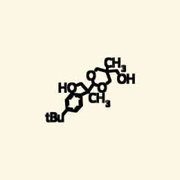 CC1(CO)COC(C(C)(CO)c2ccc(C(C)(C)C)cc2)OC1